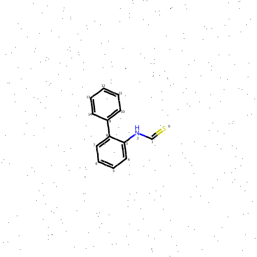 S=[C]Nc1ccccc1-c1ccccc1